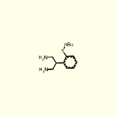 CCCCSc1ccccc1C(CN)CN